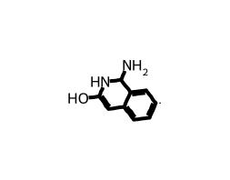 NC1NC(O)=Cc2cc[c]cc21